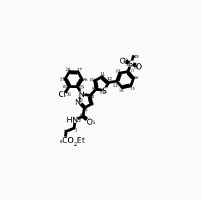 CCOC(=O)CCNC(=O)c1cc(-c2ccc(-c3cccc(S(C)(=O)=O)c3)s2)n(-c2ccccc2Cl)n1